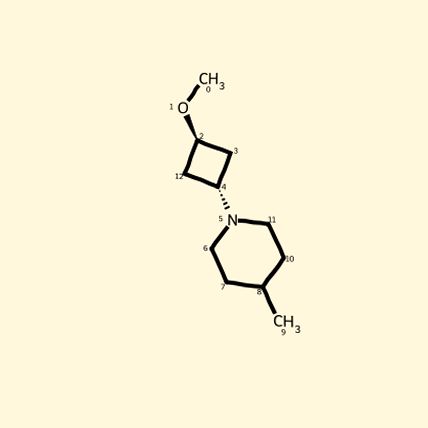 CO[C@H]1C[C@H](N2CCC(C)CC2)C1